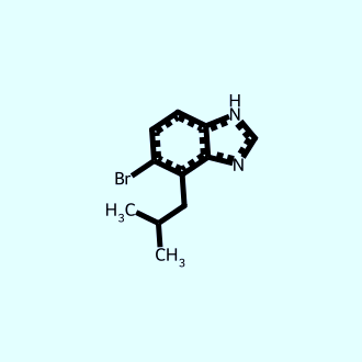 CC(C)Cc1c(Br)ccc2[nH]cnc12